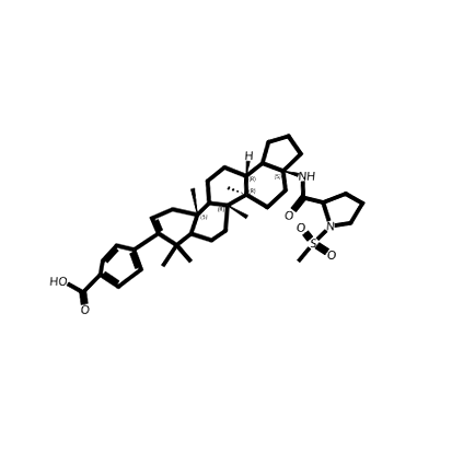 CC1(C)C(c2ccc(C(=O)O)cc2)=CC[C@@]2(C)C1CC[C@]1(C)C2CC[C@@H]2C3CCC[C@]3(NC(=O)C3CCCN3S(C)(=O)=O)CC[C@]21C